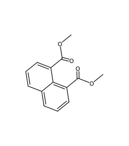 COC(=O)c1cccc2cccc(C(=O)OC)c12